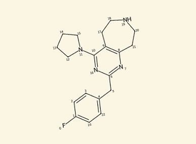 Fc1ccc(Cc2nc3c(c(N4CCCC4)n2)CCNCC3)cc1